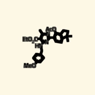 CCOC(=O)c1c(C)nc(-c2ccc3c(c2OC(C)=O)CCC3(C)C)nc1NCc1ccc(OC)cc1